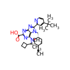 C#C[C@H]1CC[C@H](Cn2c(-c3cc(C(C)(C)C)ccn3)nc3nc(C(=O)O)nc(N(C)[C@H](C)C4CCC4)c32)CC1